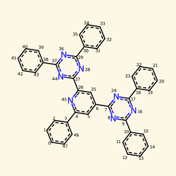 c1ccc(-c2cc(-c3nc(-c4ccccc4)nc(-c4ccccc4)n3)cc(-c3nc(-c4ccccc4)nc(-c4ccccc4)n3)n2)cc1